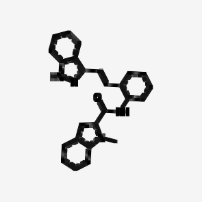 Cn1c(C(=O)Nc2ccccc2C=Cc2n[nH]c3ccccc23)cc2ccccc21